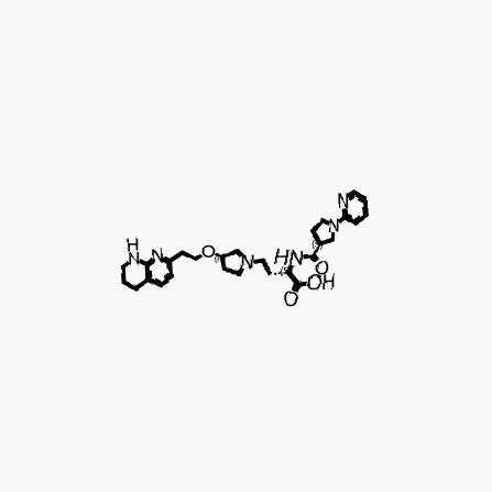 O=C(N[C@@H](CCN1CC[C@@H](OCCc2ccc3c(n2)NCCC3)C1)C(=O)O)[C@H]1CCN(c2ccccn2)C1